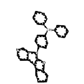 c1ccc([SiH](c2ccccc2)c2ccc(-n3c4cnccc4c4c5ccccc5oc43)cc2)cc1